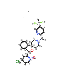 CC(c1ccc(C(C)(F)F)cn1)N1CCC2(CC1)OC(c1cc(Cl)cc[n+]1[O-])c1ccccc12